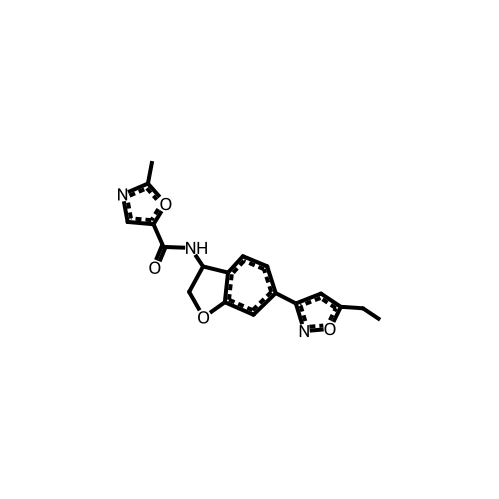 CCc1cc(-c2ccc3c(c2)OCC3NC(=O)c2cnc(C)o2)no1